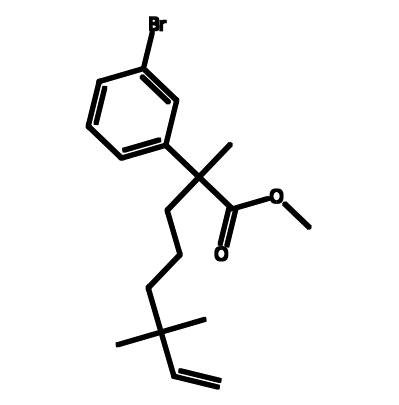 C=CC(C)(C)CCCC(C)(C(=O)OC)c1cccc(Br)c1